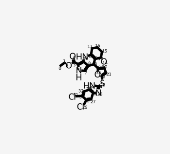 CCOC(=O)c1[nH]cc2c1NC1=C(C(=O)CCC1)C2c1ccc(Sc2nc3cc(Cl)c(Cl)cc3[nH]2)o1